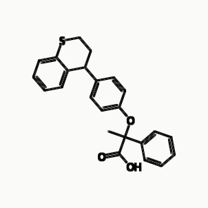 CC(Oc1ccc(C2CCSc3ccccc32)cc1)(C(=O)O)c1ccccc1